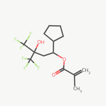 C=C(C)C(=O)OC(CC(O)(C(F)(F)F)C(F)(F)F)C1CCCC1